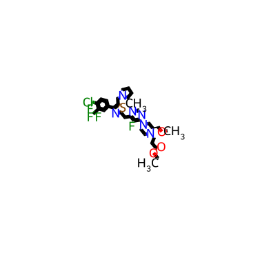 CCOC(=O)CCN1CCN(c2ncnc(Cc3nc(-c4ccc(Cl)c(C(F)(F)F)c4)c(CN4CCC[C@H]4C)s3)c2F)C[C@H]1COC